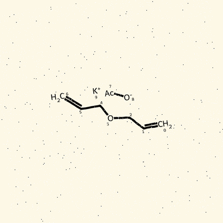 C=CCOCC=C.CC(=O)[O-].[K+]